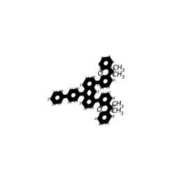 CC1(C)c2ccccc2Oc2c(-c3cccc4c(-c5ccc(-c6ccccc6)cc5)c5cccc(-c6cccc7c6Oc6ccccc6C7(C)C)c5cc34)cccc21